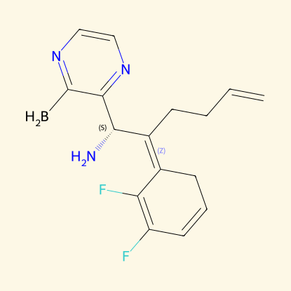 Bc1nccnc1[C@@H](N)/C(CCC=C)=C1/CC=CC(F)=C1F